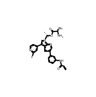 C=CC(=O)Nc1cccc(-c2cnc3c(c2)c(-c2ccnc(F)c2)cn3[C@H](C)OC(=O)C(N)C(C)CC)c1